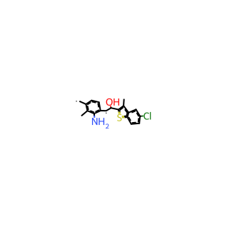 [CH2]c1ccc([CH]C(O)c2sc3ccc(Cl)cc3c2C)c(N)c1C